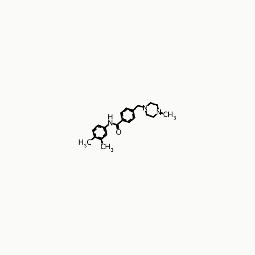 Cc1ccc(NC(=O)c2ccc(CN3CCN(C)CC3)cc2)cc1C